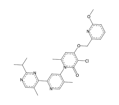 COc1cccc(COc2cc(C)n(-c3cc(-c4nc(C(C)C)ncc4C)ncc3C)c(=O)c2Cl)n1